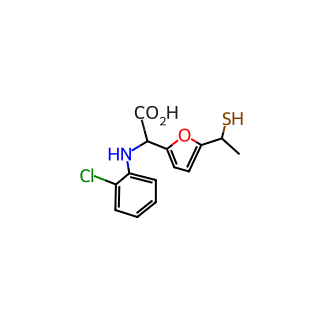 CC(S)c1ccc(C(Nc2ccccc2Cl)C(=O)O)o1